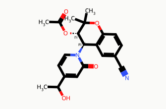 CC(=O)O[C@H]1[C@H](n2ccc(C(C)O)cc2=O)c2cc(C#N)ccc2OC1(C)C